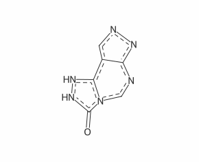 O=c1[nH][nH]c2c3cnnc-3ncn12